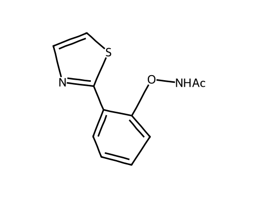 CC(=O)NOc1ccccc1-c1nccs1